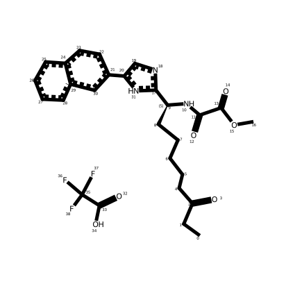 CCC(=O)CCCCC[C@H](NC(=O)C(=O)OC)c1ncc(-c2ccc3ccccc3c2)[nH]1.O=C(O)C(F)(F)F